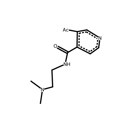 CC(=O)c1cnccc1C(=O)NCCN(C)C